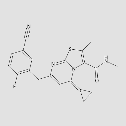 CNC(=O)C1=C(C)SC2=NC(Cc3cc(C#N)ccc3F)=CC(=C3CC3)N21